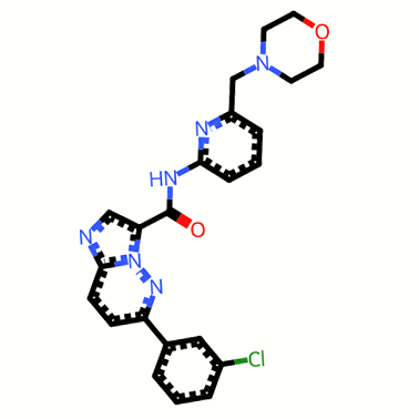 O=C(Nc1cccc(CN2CCOCC2)n1)c1cnc2ccc(-c3cccc(Cl)c3)nn12